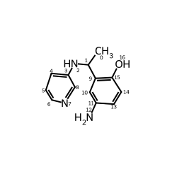 CC(Nc1cccnc1)c1cc(N)ccc1O